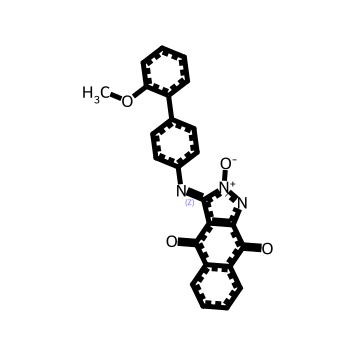 COc1ccccc1-c1ccc(/N=c2/c3c(=O)c4ccccc4c(=O)c=3n[n+]2[O-])cc1